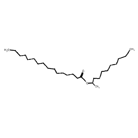 CCCCCCCCCCCCCCCC(=O)OC(C)CCCCCCCCC